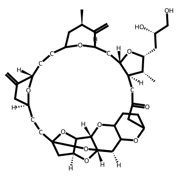 C=C1C[C@@H]2CCC34C[C@@H]5O[C@H]6[C@@H](O3)C3OC(CCC3O[C@H]6C5O4)CC(=O)C[C@@H]3[C@@H](C)[C@@H](C[C@H](O)CO)O[C@H]3C[C@H]3OC(CC[C@@H]1O2)C[C@@H](C)C3=C